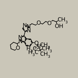 CC(O)COCCOCCn1ncc(-c2nn(C3CCCCO3)c3ccc(O[Si](C)(C)C(C)(C)C)cc23)n1